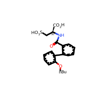 CCCCOc1ccccc1-c1ccccc1C(=O)N[C@@H](CS(=O)(=O)O)C(=O)O